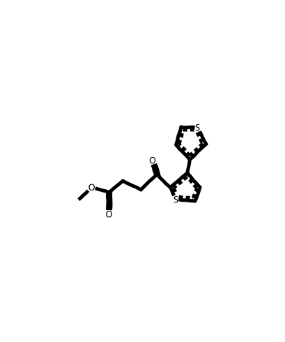 COC(=O)CCC(=O)c1sccc1-c1ccsc1